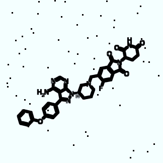 Nc1ncnc2c1c(-c1ccc(Oc3ccccc3)cc1)nn2[C@@H]1CCCN(Cc2cc3c(cc2F)C(=O)N(C2CCC(=O)NC2=O)C3=O)C1